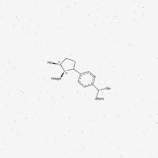 CCCCCCC[C@@H]1C(c2ccc(C(O)CCCCC)cc2)CC[C@@H]1O